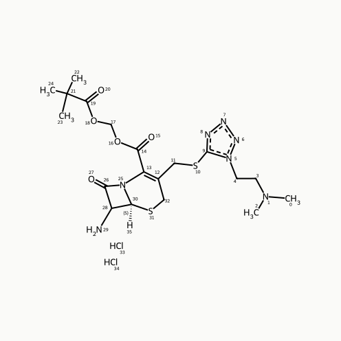 CN(C)CCn1nnnc1SCC1=C(C(=O)OCOC(=O)C(C)(C)C)N2C(=O)C(N)[C@@H]2SC1.Cl.Cl